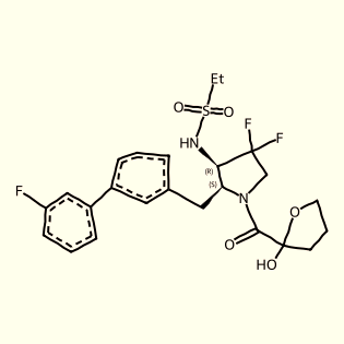 CCS(=O)(=O)N[C@@H]1[C@H](Cc2cccc(-c3cccc(F)c3)c2)N(C(=O)C2(O)CCCO2)CC1(F)F